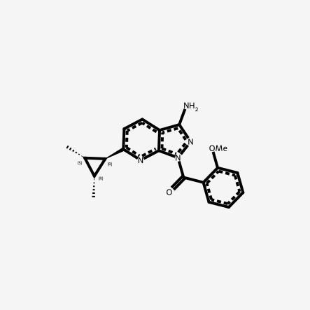 COc1ccccc1C(=O)n1nc(N)c2ccc([C@H]3[C@H](C)[C@@H]3C)nc21